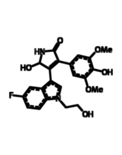 COc1cc(C2=C(c3cn(CCO)c4ccc(F)cc34)C(O)NC2=O)cc(OC)c1O